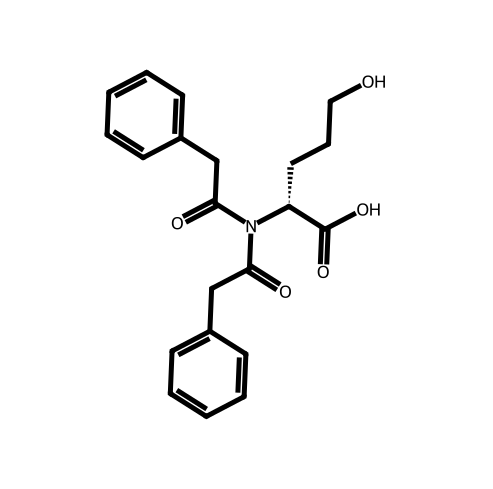 O=C(O)[C@@H](CCCO)N(C(=O)Cc1ccccc1)C(=O)Cc1ccccc1